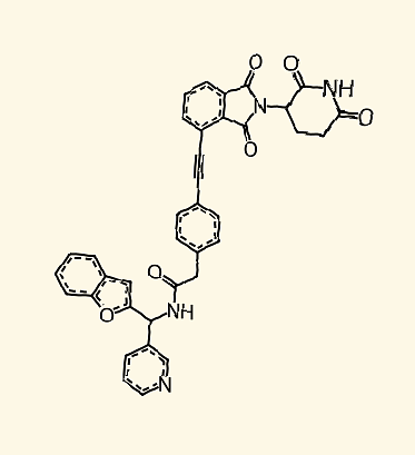 O=C1CCC(N2C(=O)c3cccc(C#Cc4ccc(CC(=O)NC(c5cccnc5)c5cc6ccccc6o5)cc4)c3C2=O)C(=O)N1